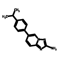 CC(C)c1ccc(-c2ccc3nc(N)nn3c2)cc1